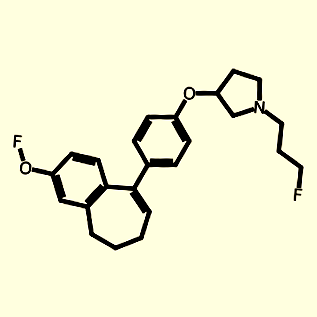 FCCCN1CCC(Oc2ccc(C3=CCCCc4cc(OF)ccc43)cc2)C1